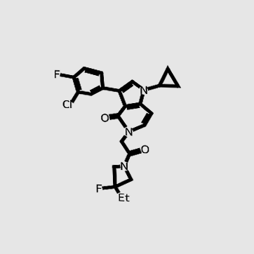 CCC1(F)CN(C(=O)Cn2ccc3c(c(-c4ccc(F)c(Cl)c4)cn3C3CC3)c2=O)C1